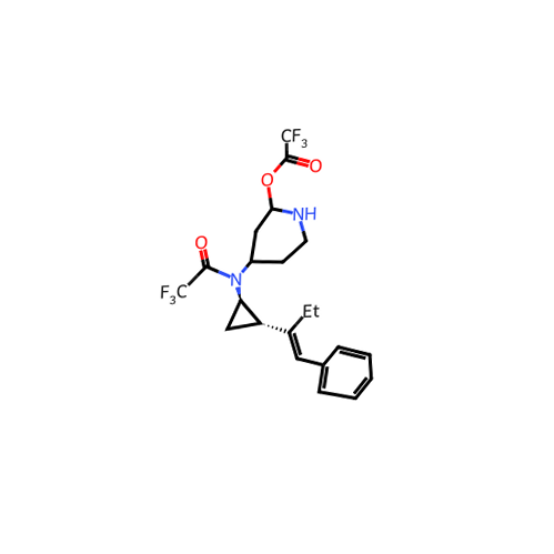 CC/C(=C\c1ccccc1)[C@@H]1C[C@H]1N(C(=O)C(F)(F)F)C1CCNC(OC(=O)C(F)(F)F)C1